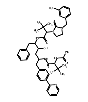 Cc1cccc(CN2CCN(C(C(=O)NC(Cc3ccccc3)C(O)CC(Cc3ccc(-c4ccccn4)cc3)NC(=O)C(NC(=O)O)C(C)(C)C)C(C)(C)C)C2=O)n1